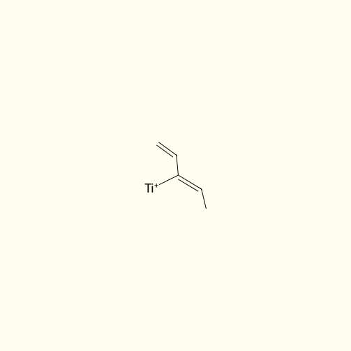 C=C[C]([Ti+])=CC